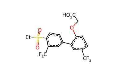 CCS(=O)(=O)c1ccc(-c2cc(C(F)(F)F)ccc2OCC(=O)O)cc1C(F)(F)F